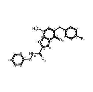 Cn1cc(Cc2ccc(F)cc2)c(=O)c2cc(C(=O)NCc3ccccc3)oc21